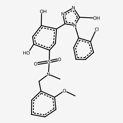 COc1ccccc1CN(C)S(=O)(=O)c1cc(-c2nnc(O)n2-c2ccccc2Cl)c(O)cc1O